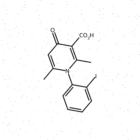 Cc1cc(=O)c(C(=O)O)c(C)n1-c1ccccc1I